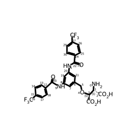 N[C@H](C(=O)O)[C@H](OCc1cc(NC(=O)c2ccc(C(F)(F)F)cc2)cc(NC(=O)c2ccc(C(F)(F)F)cc2)c1)C(=O)O